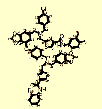 Cc1ccc(NC(=O)c2csc(CN(Cc3ccc(Cl)cc3)Cc3cc4c(c(Oc5ccc(CN(Cc6ccc7c(c6)OCO7)Cc6nc(C(=O)Nc7ccccc7F)cs6)cc5)c3)OCO4)n2)cc1C